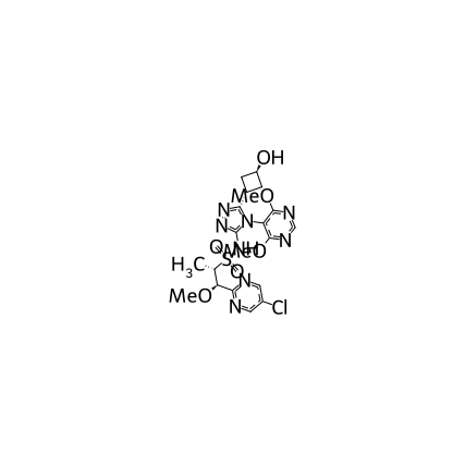 COc1ncnc(OC)c1-n1c(NS(=O)(=O)[C@@H](C)[C@H](OC)c2ncc(Cl)cn2)nnc1[C@H]1C[C@H](O)C1